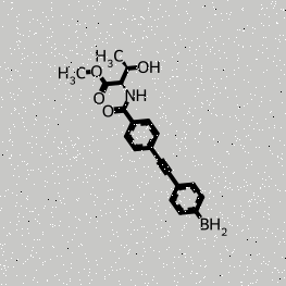 Bc1ccc(C#Cc2ccc(C(=O)N[C@H](C(=O)OC)[C@@H](C)O)cc2)cc1